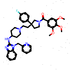 COc1cc(C(=O)N2CCC(CCN3CCC(Nc4nc5ccccc5n4Cc4ccccn4)CC3)(c3ccc(F)cc3)C2)cc(OC)c1OC